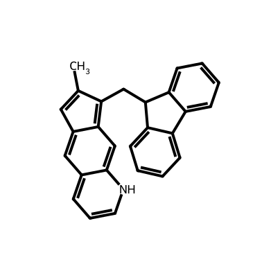 Cc1cc2cc3ccc[nH]c3cc2c1CC1c2ccccc2-c2ccccc21